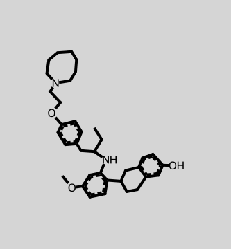 CCC(Cc1ccc(OCCN2CCCCCCC2)cc1)Nc1cc(OC)ccc1C1CCc2cc(O)ccc2C1